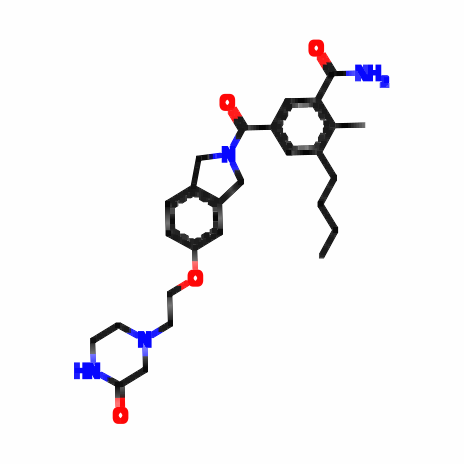 CCCCc1cc(C(=O)N2Cc3ccc(OCCN4CCNC(=O)C4)cc3C2)cc(C(N)=O)c1C